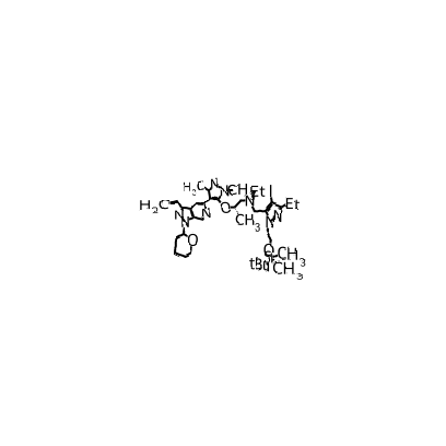 C=Cc1nn(C2CCCCO2)c2cnc(-c3c(C)nn(C)c3O[C@@H](C)CN(CC)Cc3c(I)c(CC)nn3CCO[Si](C)(C)C(C)(C)C)cc12